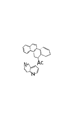 CC(=O)C1Cc2c(ccc3ccccc23)C2=C1CCC=C2.c1cnc2ccncc2c1